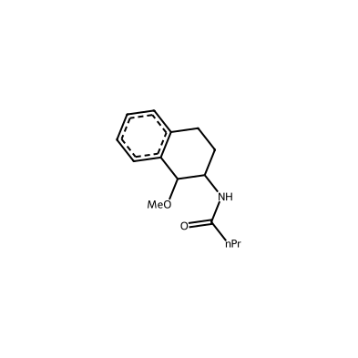 CCCC(=O)NC1CCc2ccccc2C1OC